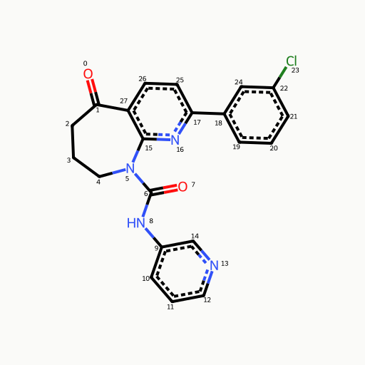 O=C1CCCN(C(=O)Nc2cccnc2)c2nc(-c3cccc(Cl)c3)ccc21